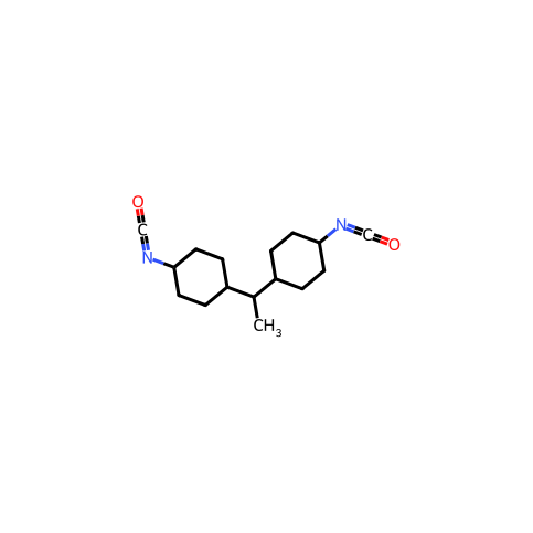 CC(C1CCC(N=C=O)CC1)C1CCC(N=C=O)CC1